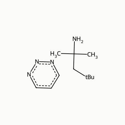 CC(C)(C)CC(C)(C)N.c1cnnnc1